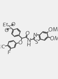 CCS(=O)(=O)c1ccc(C(Oc2ccc(C#N)c(F)c2)C(=O)Nc2nc3cc(OC)c(OC)cc3s2)cc1